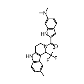 Cc1ccc2[nH]c3c(c2c1)C(C(F)(F)F)N(C(=O)c1cc2ccc(N(C)C)cc2[nH]1)CC3